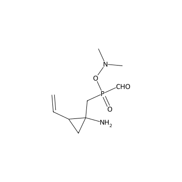 C=CC1CC1(N)CP(=O)(C=O)ON(C)C